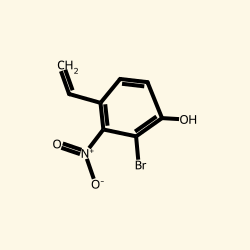 C=Cc1ccc(O)c(Br)c1[N+](=O)[O-]